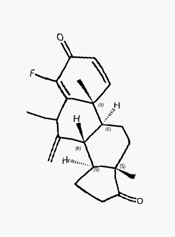 C=C1C(C)C2=C(F)C(=O)C=C[C@]2(C)[C@H]2CC[C@]3(C)C(=O)CC[C@H]3[C@H]12